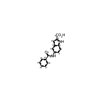 O=C(Nc1ccc2[nH]c(C(=O)O)cc2c1)c1ccccc1